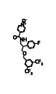 O=C(NCC(COCc1cc(C(F)(F)F)cc(C(F)(F)F)c1)c1ccc(F)cc1)c1cc[n+]([O-])cc1